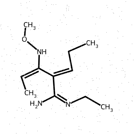 C\C=C(NOC)/C(=C\CC)C(/N)=N\CC